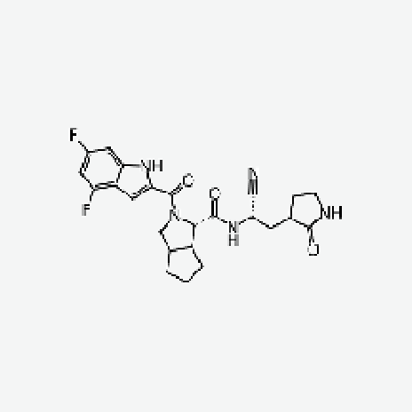 N#C[C@H](CC1CCNC1=O)NC(=O)[C@@H]1C2CCCC2CN1C(=O)c1cc2c(F)cc(F)cc2[nH]1